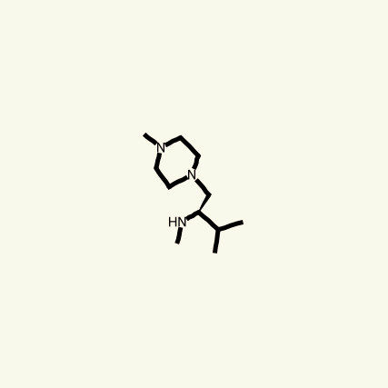 CN[C@@H](CN1CCN(C)CC1)C(C)C